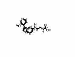 COc1cnccc1-c1cnc2ccc(NCCNC(=O)O)nn12